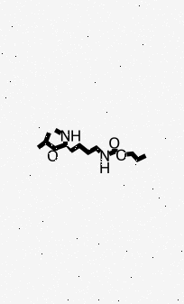 CCCOC(=O)NCCCC[C@H](NC)C(=O)C(C)C